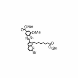 COC(=O)c1cc(OC)c2c(c1)nc(-c1cc3ccc(Br)nc3n1CCCCCCCC(=O)OC(C)(C)C)n2C